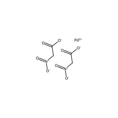 O=C([O-])C[N+](=O)[O-].O=C([O-])C[N+](=O)[O-].[Pd+2]